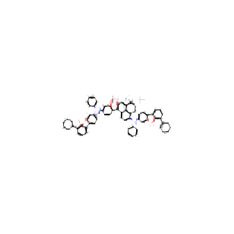 CC1(C)CCc2c(N(c3ccccc3)c3ccc4c(c3)oc3c(C5CCCCC5)cccc34)ccc3c2c1cc1oc2cc(N(c4ccccc4)c4ccc5c(c4)oc4c(C6CCCCC6)cccc45)ccc2c13